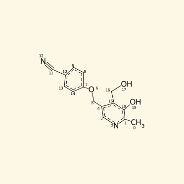 Cc1ncc(COc2ccc(C#N)cc2)c(CO)c1O